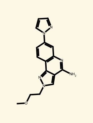 COCCn1cc2c(N)nc3cc(-n4cccn4)ccc3c2n1